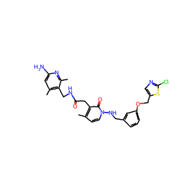 Cc1cc(N)nc(C)c1CNC(=O)Cc1c(C)ccn(NCc2cccc(OCc3cnc(Cl)s3)c2)c1=O